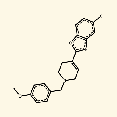 COc1ccc(CN2CC=C(c3nc4cc(Cl)ccc4o3)CC2)cc1